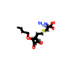 CCCCOc1c(CCSC[C@H](N)C(=O)O)c(=O)c1=O